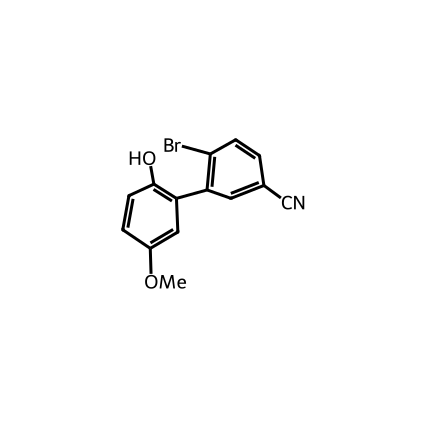 COc1ccc(O)c(-c2cc(C#N)ccc2Br)c1